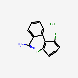 Cl.N=C(N)c1ccccc1-c1c(F)cccc1F